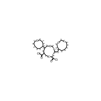 O=C(Cl)C1CCC(C(=O)Cl)CC(C2CCCCCCCCC2)CCCCC(CC2CCCCCCCCCC2)C1